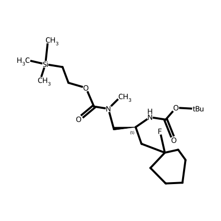 CN(C[C@H](CC1(F)CCCCC1)NC(=O)OC(C)(C)C)C(=O)OCC[Si](C)(C)C